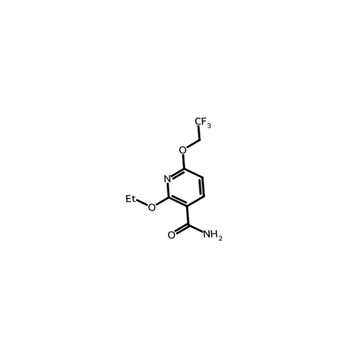 CCOc1nc(OCC(F)(F)F)ccc1C(N)=O